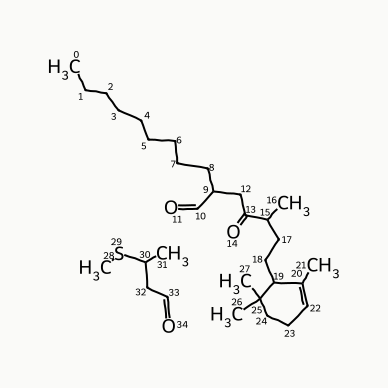 CCCCCCCCCC(C=O)CC(=O)C(C)CCC1C(C)=CCCC1(C)C.CSC(C)CC=O